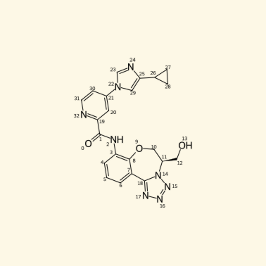 O=C(Nc1cccc2c1OC[C@@H](CO)n1nnnc1-2)c1cc(-n2cnc(C3CC3)c2)ccn1